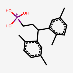 Cc1ccc(C)c(C(CC[PH](O)(O)O)c2cc(C)ccc2C)c1